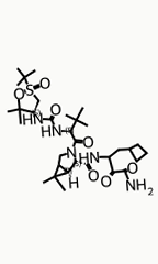 CC(C)(C)[C@H](NC(=O)N[C@H](CS(=O)(=O)C(C)(C)C)C(C)(C)C)C(=O)N1CC2[C@@H]([C@H]1C(=O)NC(CC1CCC1)C(=O)C(N)=O)C2(C)C